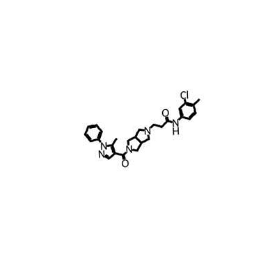 Cc1ccc(NC(=O)CCN2CC3CN(C(=O)c4cnn(-c5ccccc5)c4C)CC3C2)cc1Cl